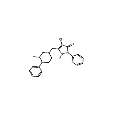 CC1CN(Cc2c(Cl)c(=O)n(-c3ccccc3)n2C)CCN1c1ccccc1